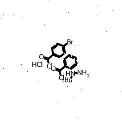 CC(C)(C)NN.Cl.O=C(Cl)c1ccc(Br)cc1.O=C(Cl)c1ccccc1